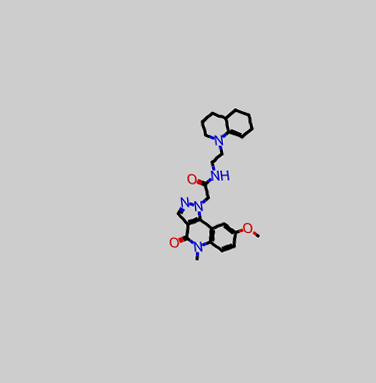 COc1ccc2c(c1)c1c(cnn1CC(=O)NCCN1CCCC3CCCC=C31)c(=O)n2C